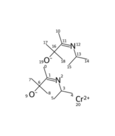 CC(=NC(C)C)C(C)(C)[O-].CC(=NC(C)C)C(C)(C)[O-].[Cr+2]